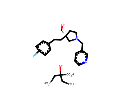 O=C(O)CC(O)(CC(=O)O)C(=O)O.OC[C@]1(CCc2ccc(F)cc2)CCN(Cc2cccnc2)C1